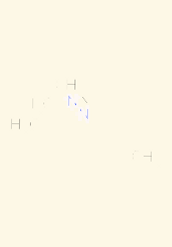 CCCCCCCN1C=CN(C(C)C)C1CCCC